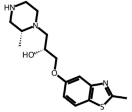 Cc1nc2cc(OC[C@H](O)CN3CCNC[C@H]3C)ccc2s1